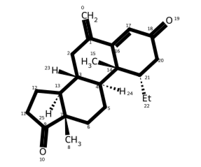 C=C1C[C@@H]2[C@H](CC[C@]3(C)C(=O)CC[C@@H]23)[C@]2(C)C1=CC(=O)C[C@@H]2CC